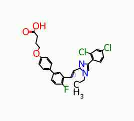 CCn1cc(-c2ccc(Cl)cc2Cl)nc1/C=C/c1cc(-c2ccc(OCCCC(=O)O)cc2)ccc1F